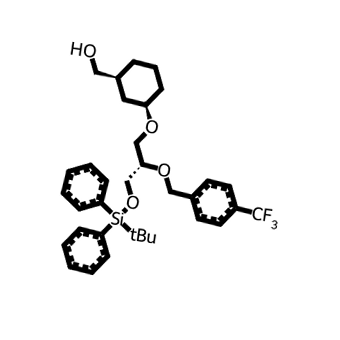 CC(C)(C)[Si](OC[C@H](CO[C@@H]1CCC[C@H](CO)C1)OCc1ccc(C(F)(F)F)cc1)(c1ccccc1)c1ccccc1